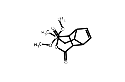 CO[Si](C)(CC1C2C=CC1C1C(=O)OC(=O)C21)OC